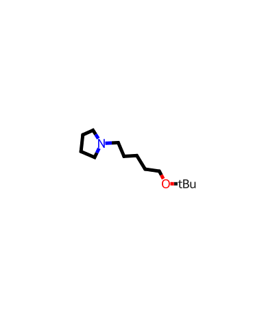 CC(C)(C)OCCCCCN1CCCC1